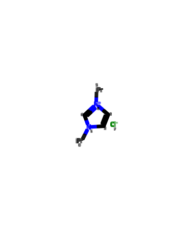 CC(C)n1cc[n+](C(C)C)c1.[Cl-]